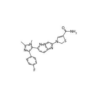 Cc1nc(-c2ccc(F)cc2)c(-c2ccc3nc(N4C=C(C(N)=O)SC4)cn3n2)n1C